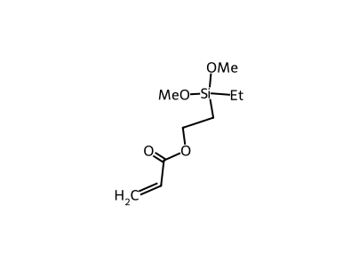 C=CC(=O)OCC[Si](CC)(OC)OC